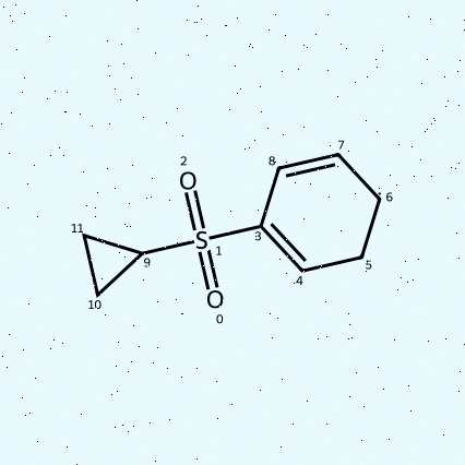 O=S(=O)(C1=CC[CH]C=C1)C1CC1